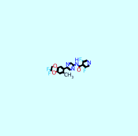 Cc1cc2c(cc1-c1cnc(NC(=O)c3c(F)cncc3F)cn1)OCC(F)(F)O2